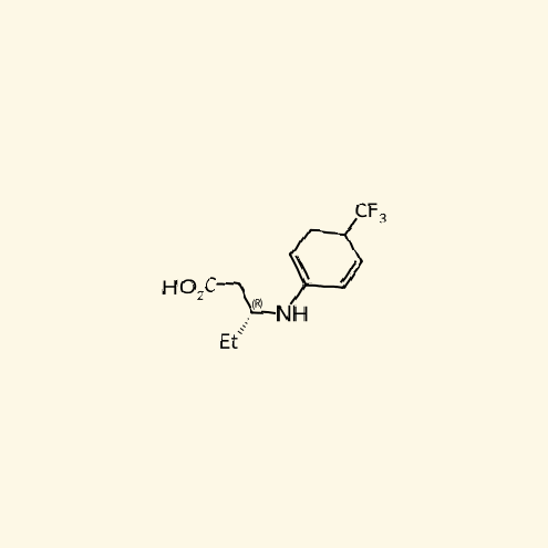 CC[C@H](CC(=O)O)NC1=CCC(C(F)(F)F)C=C1